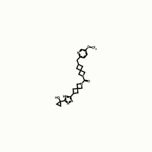 O=C(N1CC2(CC(Cc3ccc(OC(F)(F)F)cn3)C2)C1)N1CC2(CC(c3nnc(C4(O)CC4)[nH]3)C2)C1